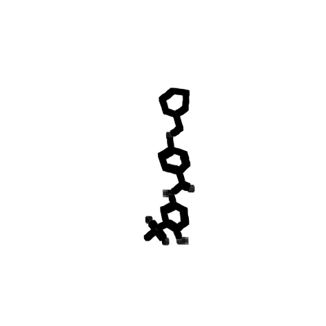 CS(=O)(=O)c1cc(NC(=O)c2ccc(OCC3CCCCC3)cc2)ccc1O